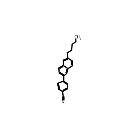 CCCCCc1ccc2cc(-c3ccc(C#N)cc3)ccc2c1